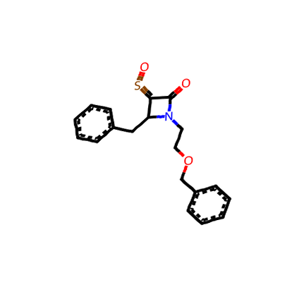 O=S=C1C(=O)N(CCOCc2ccccc2)C1Cc1ccccc1